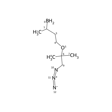 BC(C)CCOC(C)(C)CN=[N+]=[N-]